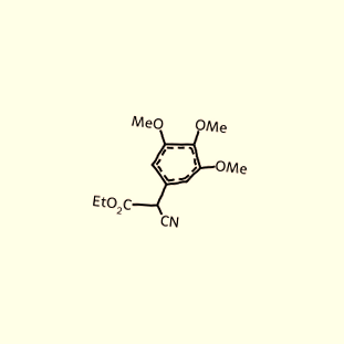 CCOC(=O)C(C#N)c1cc(OC)c(OC)c(OC)c1